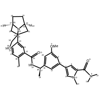 COc1cc(-c2cc(C(=O)N(C)C)n(C)c2)cc([C@@H](C)NC(=O)c2cc(N3C[C@H]4CC[C@@H](C3)N4CCO)ccc2C)c1